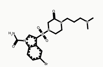 CN(C)CCCN1CCN(S(=O)(=O)c2cn(C(N)=O)c3ccc(Br)cc23)CC1=O